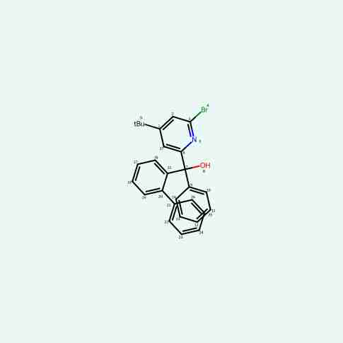 CC(C)(C)c1cc(Br)nc(C(O)(c2ccccc2)c2ccccc2-c2ccccc2)c1